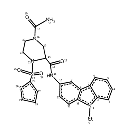 CCn1c2ccccc2c2cc(NC(=O)C3CN(C(N)=O)CCN3S(=O)(=O)c3cccs3)ccc21